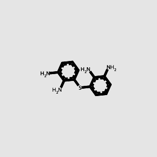 Nc1cccc(Sc2cccc(N)c2N)c1N